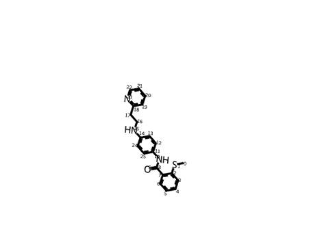 CSc1ccccc1C(=O)Nc1ccc(NCCc2ccccn2)cc1